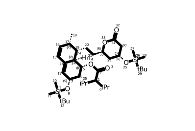 CC(C)C(C(=O)O[C@@H]1C[C@H](O[Si](C)(C)C(C)(C)C)C=C2C=C[C@H](C)[C@H](CC[C@@H]3C[C@@H](O[Si](C)(C)C(C)(C)C)CC(=O)O3)[C@H]21)C(C)C